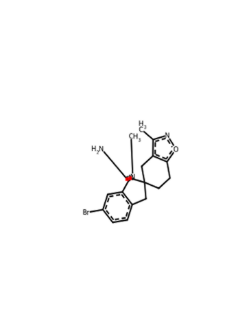 Cc1noc2c1CC1(CC2)Cc2ccc(Br)cc2C12N=C(N)N(C)O2